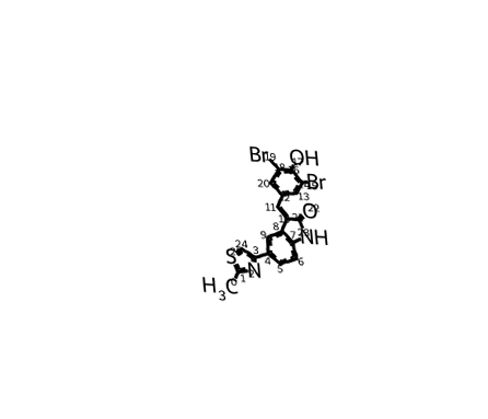 Cc1nc(-c2ccc3c(c2)C(=Cc2cc(Br)c(O)c(Br)c2)C(=O)N3)cs1